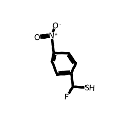 O=[N+]([O-])c1ccc(C(F)S)cc1